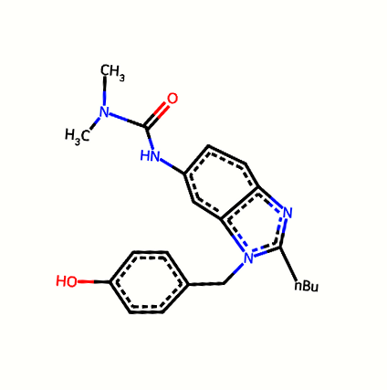 CCCCc1nc2ccc(NC(=O)N(C)C)cc2n1Cc1ccc(O)cc1